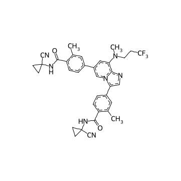 Cc1cc(-c2cc(N(C)CCC(F)(F)F)c3ncc(-c4ccc(C(=O)NC5(C#N)CC5)c(C)c4)n3c2)ccc1C(=O)NC1(C#N)CC1